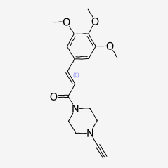 C#CN1CCN(C(=O)/C=C/c2cc(OC)c(OC)c(OC)c2)CC1